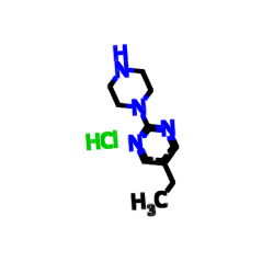 CCc1cnc(N2CCNCC2)nc1.Cl